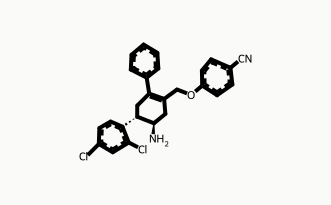 N#Cc1ccc(OCC2=C(c3ccccc3)C[C@@H](c3ccc(Cl)cc3Cl)[C@H](N)C2)cc1